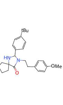 COc1ccc(CCN2C(=O)C3(CCCC3)NC2c2ccc(C(C)(C)C)cc2)cc1